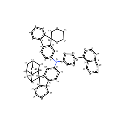 c1ccc2c(c1)-c1ccc(N(c3ccc(-c4cccc5ccccc45)cc3)c3ccc4c(c3)C3(c5ccccc5-4)C4CCC5CC(C4)CC3C5)cc1C21CCCCC1